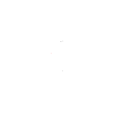 C=C(C)C[C@H](OC)[C@@H](C=O)OCOCC[Si](C)(C)C